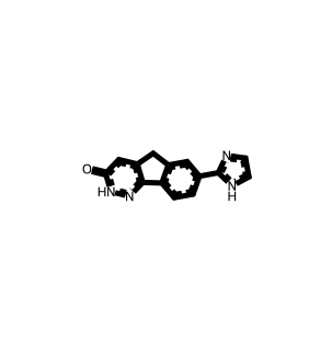 O=c1cc2c(n[nH]1)-c1ccc(-c3ncc[nH]3)cc1C2